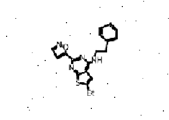 CCc1cc2c(NCCc3ccccc3)nc(-c3ccno3)nc2s1